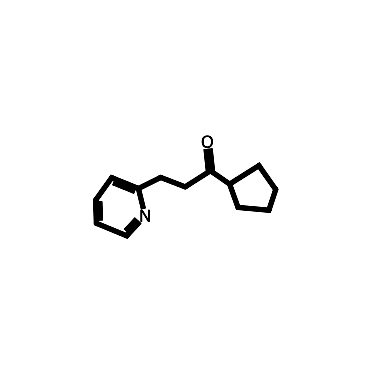 O=C(CCc1ccccn1)C1CCCC1